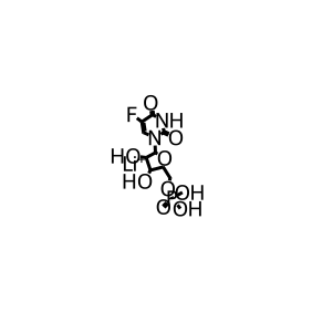 O=c1[nH]c(=O)n(C2OC(COP(=O)(O)O)C(O)C2O)cc1F.[Li+]